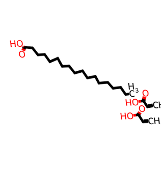 C=CC(=O)O.C=CC(=O)O.CCCCCCCCCCCCCCCCCC(=O)O